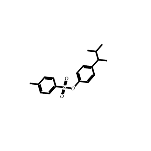 Cc1ccc(S(=O)(=O)Oc2ccc(C(C)C(C)C)cc2)cc1